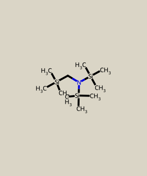 C[Si](C)(C)CN([Si](C)(C)C)[Si](C)(C)C